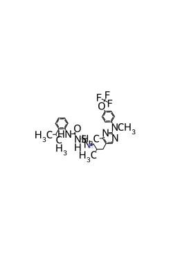 Cc1nc(N(C)c2ccc(OC(F)(F)F)cc2)ncc1CC(C)/C=N/SNC(=O)Nc1ccccc1C(C)C